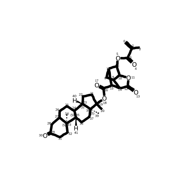 C=C(C)C(=O)OC1C2CC3C1OC(=O)C3C2C(=O)OC1(C)CC[C@H]2C3CCC4CC(=O)CC[C@]4(C)[C@H]3CC[C@@]21C